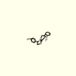 Brc1ccc(-c2cnc3c4[nH]c5ccccc5c4ccn23)cc1